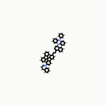 C(=C\c1ccc(N2c3ccccc3N(c3ccccc3)c3ccccc32)c2ccccc12)/c1ccc2c(c1)C1(c3ccccc3-c3ccccc31)c1cc(N3CCCc4ccccc43)ccc1-2